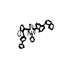 c1ccc(-c2ccc3c(c2)oc2cccc(-c4nc(-c5ccccc5)nc(-c5cccc6c(-c7cccc8ccccc78)cccc56)n4)c23)cc1